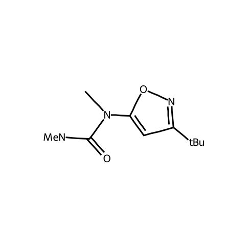 CNC(=O)N(C)c1cc(C(C)(C)C)no1